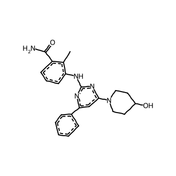 Cc1c(Nc2nc(-c3ccccc3)cc(N3CCC(O)CC3)n2)cccc1C(N)=O